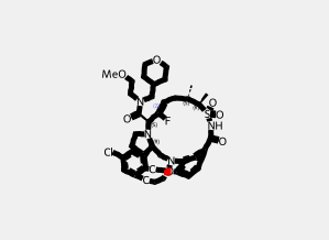 COCCN(CC1CCOCC1)C(=O)[C@H]1/C(F)=C/C[C@H](C)[C@@H](C)S(=O)(=O)NC(=O)c2ccc3c(c2)N2CCCCc4cc(Cl)cc(c4CO3)[C@]3(CCCN13)C2